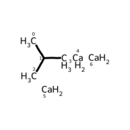 CC(C)C.[CaH2].[CaH2].[CaH2]